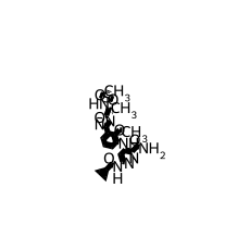 COc1c(Nc2cc(NC(=O)C3CC3)nnc2C(N)=O)cccc1-c1noc([C@@H](C)NS(C)(=O)=O)n1